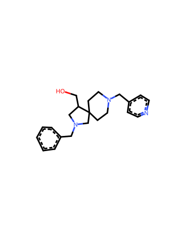 OCC1CN(Cc2ccccc2)CC12CCN(Cc1ccncc1)CC2